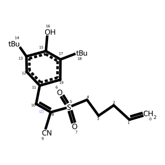 C=CCCCS(=O)(=O)/C(C#N)=C\c1cc(C(C)(C)C)c(O)c(C(C)(C)C)c1